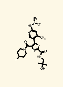 CC(C)[S+]([O-])Nc1cc(C(F)(F)F)c(-c2sc(C(=O)NCC(C)(C)O)nc2C(=O)N2CCC(F)CC2)cn1